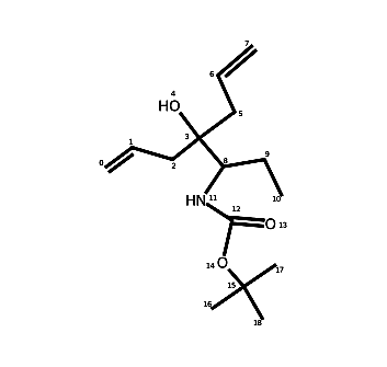 C=CCC(O)(CC=C)C(CC)NC(=O)OC(C)(C)C